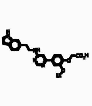 CCOc1cc(-c2cc(NCCc3ccc4cc[nH]c4c3)ncn2)ccc1OCC(=O)O